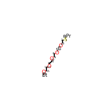 CCCSCCOCCOCCOCCOCCOCC